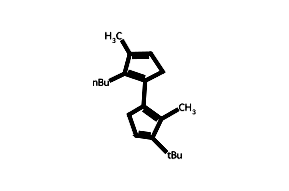 CCCCC1=C(C2=C(C)C(C(C)(C)C)=[C]C2)CC=C1C